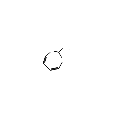 O=C(O)C1OC=CC=CO1